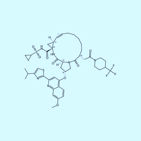 COc1ccc2c(O[C@@H]3C[C@H]4C(=O)N[C@]5(C(=O)NS(=O)(=O)C6CC6)C[C@H]5/C=C\CCCCC[C@H](CC(=O)N5CCC(C(F)(F)F)CC5)C(=O)N4C3)cc(-c3nc(C(C)C)cs3)nc2c1